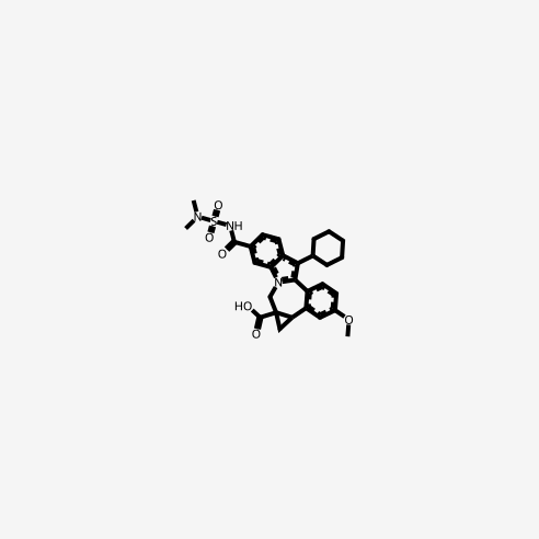 COc1ccc2c(c1)C1CC1(C(=O)O)Cn1c-2c(C2CCCCC2)c2ccc(C(=O)NS(=O)(=O)N(C)C)cc21